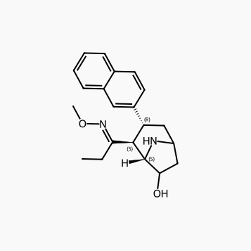 CCC(=NOC)[C@@H]1[C@@H]2NC(CC2O)C[C@H]1c1ccc2ccccc2c1